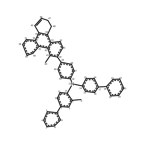 Cc1cc(-c2ccccc2)ccc1N(c1ccc(-c2ccccc2)cc1)c1ccc(-c2ccc3c4c(c5ccccc5c3c2C)C=CCC4)cc1